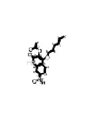 CCCCCCOc1c(OC(C)=O)c(=O)[nH]c2cc([N+](=O)[O-])ccc12